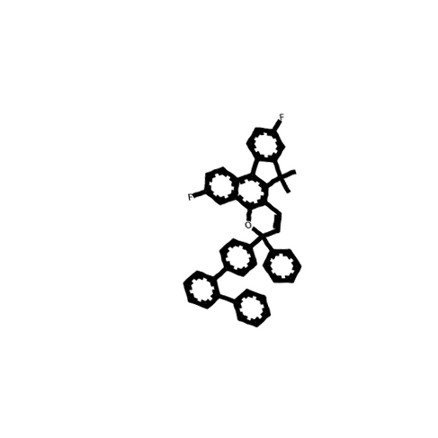 CC1(C)c2cc(F)ccc2-c2c1c1c(c3cc(F)ccc23)OC(c2ccccc2)(c2ccc(-c3ccccc3-c3ccccc3)cc2)C=C1